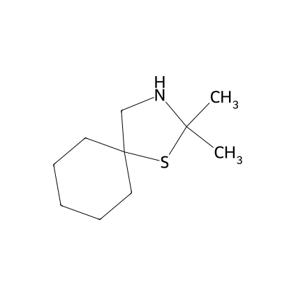 CC1(C)NCC2(CCCCC2)S1